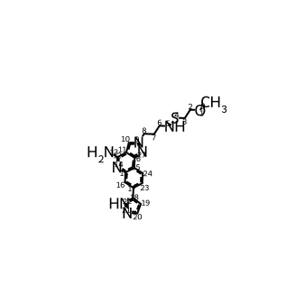 COCCSNCCCn1cc2c(N)nc3cc(-c4ccn[nH]4)ccc3c2n1